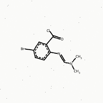 CN(C)C=Nc1ccc(Br)cc1C(=O)Cl